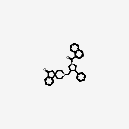 O=C1CC2(CCN(CC3CN(C(=O)c4cccc5ccccc45)CC3c3ccccc3)CC2)c2ccccc21